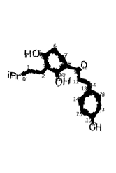 CC(C)CCc1c(O)ccc(C(=O)/C=C/c2ccc(O)cc2)c1O